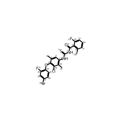 Cc1cc(NC(=S)NC(=O)c2c(F)cccc2F)c(C)c(Cl)c1Oc1ccc(Br)cc1F